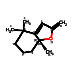 C=C1C=C2C(C)(C)CCC[C@@]2(C)O1